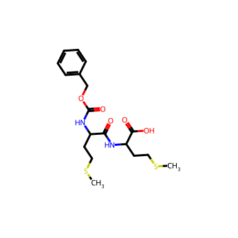 CSCCC(NC(=O)C(CCSC)NC(=O)OCc1ccccc1)C(=O)O